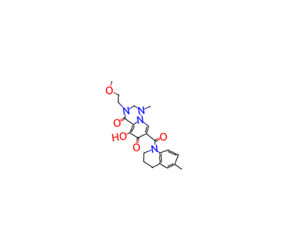 COCCN1CN(C)n2cc(C(=O)N3CCCc4cc(C)ccc43)c(=O)c(O)c2C1=O